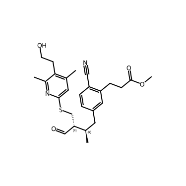 COC(=O)CCc1cc(C[C@@H](C)[C@H](C=O)CSc2cc(C)c(CCO)c(C)n2)ccc1C#N